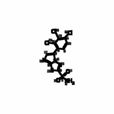 NS(=O)(=O)c1nn2c(-c3ccc(Cl)c(Cl)c3Cl)cnc2s1